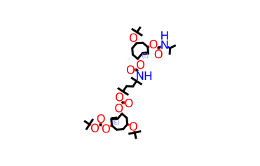 CC(C)NC(=O)OC1/C=C/C(OC(=O)NC(C)(C)CCC(C)(C)OC(=O)OC2/C=C/C(OC(=O)OC(C)(C)C)CCC(OC(C)(C)C)C2)CCC(OC(C)(C)C)C1